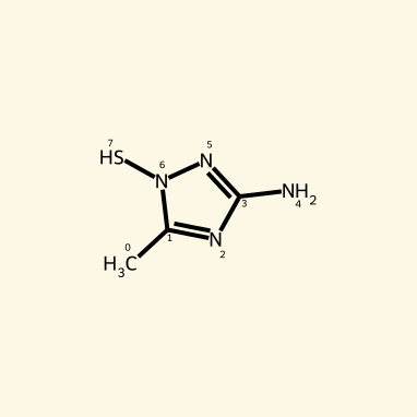 Cc1nc(N)nn1S